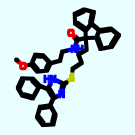 COc1ccc(CCNC(=O)C2(CCCCSc3nc(-c4ccccc4)c(-c4ccccc4)[nH]3)c3ccccc3-c3ccccc32)cc1